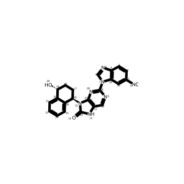 [C-]#[N+]c1ccc2ncn(-c3ncc4[nH]c(=O)n([C@@H]5CC[C@@H](O)c6ccccc65)c4n3)c2c1